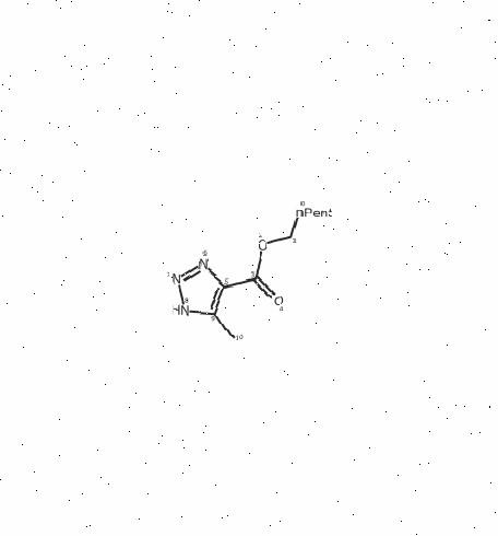 CCCCCCOC(=O)c1nn[nH]c1C